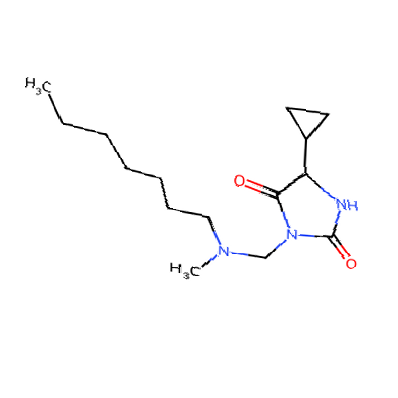 CCCCCCCN(C)CN1C(=O)NC(C2CC2)C1=O